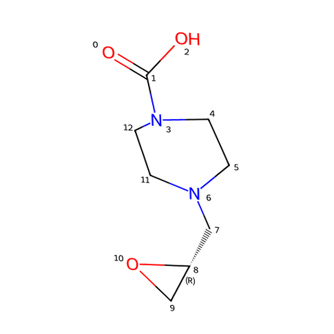 O=C(O)N1CCN(C[C@@H]2CO2)CC1